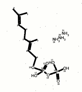 CC(C)=CCC/C(C)=C/COP(=O)(O)OP(=O)(O)O.N.N.N